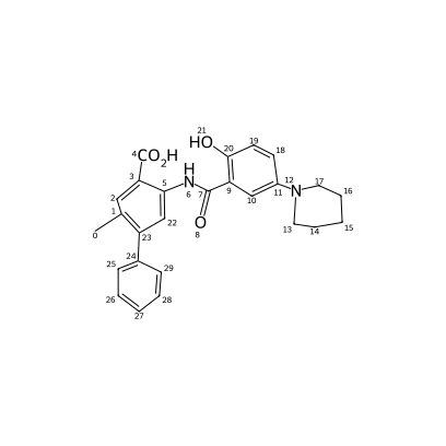 Cc1cc(C(=O)O)c(NC(=O)c2cc(N3CCCCC3)ccc2O)cc1-c1ccccc1